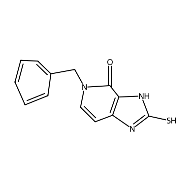 O=c1c2[nH]c(S)nc2ccn1Cc1ccccc1